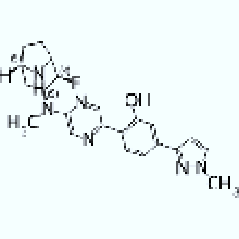 CN(c1cnc(-c2ccc(-c3ccn(C)n3)cc2O)cn1)[C@H]1C[C@@H]2CCC(N2)[C@H]1F